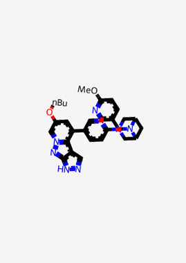 CCCCOc1cc(-c2ccc(N3CC4CC(C3)N4Cc3ccc(OC)nc3)nc2)c2c3cn[nH]c3nn2c1